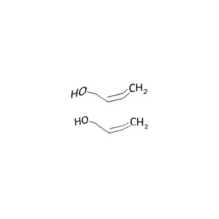 C=CO.C=CO